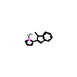 CCCp1cccc1C1=Cc2ccccc2[C]1C